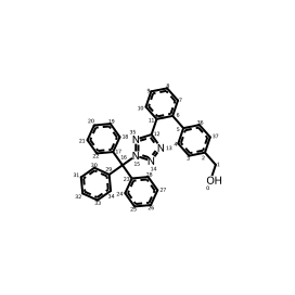 OCc1ccc(-c2ccccc2-c2nnn(C(c3ccccc3)(c3ccccc3)c3ccccc3)n2)cc1